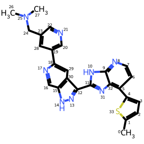 Cc1ccc(-c2ccnc3[nH]c(-c4n[nH]c5cnc(-c6cncc(CN(C)C)c6)cc45)nc23)s1